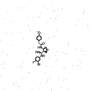 COc1ccc(CC(=O)Nc2nonc2C(=N)Nc2ccc(F)c(Br)c2)cc1